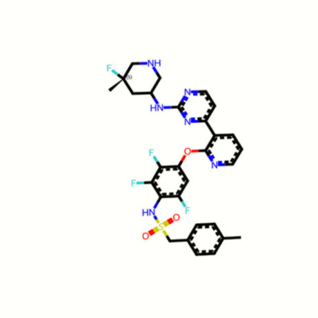 Cc1ccc(CS(=O)(=O)Nc2c(F)cc(Oc3ncccc3-c3ccnc(NC4CNC[C@@](C)(F)C4)n3)c(F)c2F)cc1